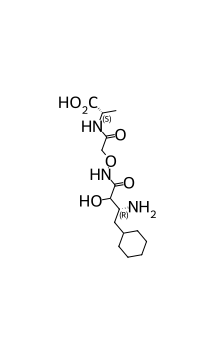 C[C@H](NC(=O)CONC(=O)C(O)[C@H](N)CC1CCCCC1)C(=O)O